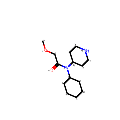 COCC(=O)N(C1CCCCC1)C1CCNCC1